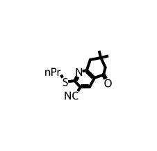 CCCSc1nc2c(cc1C#N)C(=O)CC(C)(C)C2